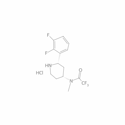 CN(C(=O)C(F)(F)F)[C@@H]1CCN[C@H](c2cccc(F)c2F)C1.Cl